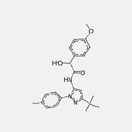 COc1ccc(C(O)C(=O)Nc2cc(C(C)(C)C)nn2-c2ccc(C)cc2)cc1